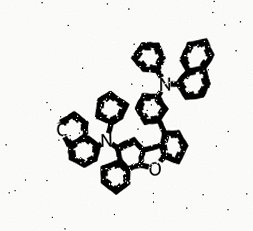 C1=C(N(c2ccccc2)c2cccc3ccccc23)c2ccccc2C2Oc3cccc(-c4cccc(N(c5ccccc5)c5cccc6ccccc56)c4)c3C12